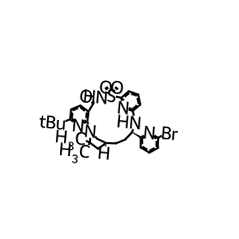 CC(C)(C)c1ccc2c(n1)N1C[C@@H](CC[C@H](c3cccc(Br)n3)Nc3cccc(n3)S(=O)(=O)NC2=O)CC1(C)C